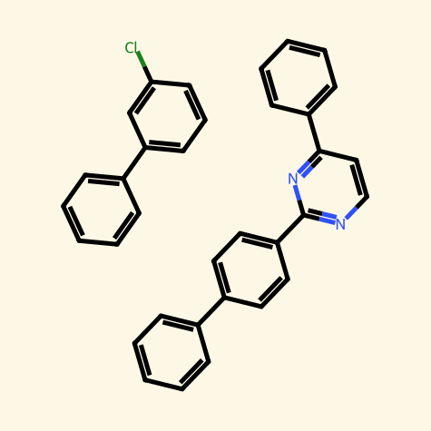 Clc1cccc(-c2ccccc2)c1.c1ccc(-c2ccc(-c3nccc(-c4ccccc4)n3)cc2)cc1